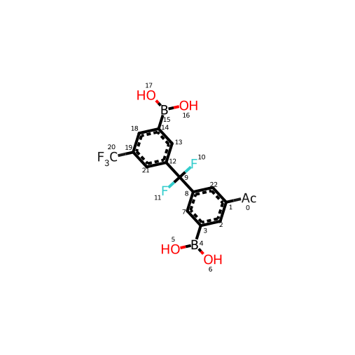 CC(=O)c1cc(B(O)O)cc(C(F)(F)c2cc(B(O)O)cc(C(F)(F)F)c2)c1